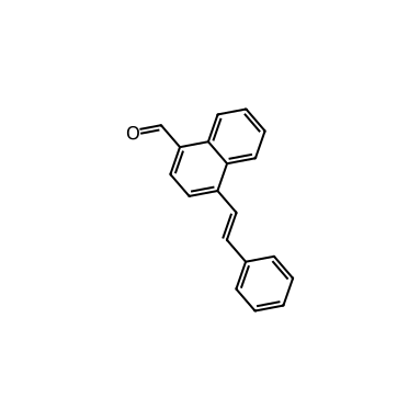 O=Cc1ccc(C=Cc2ccccc2)c2ccccc12